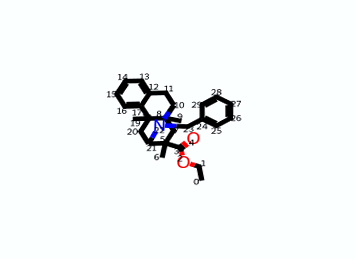 CCOC(=O)C1(C)CC2(C)C3Cc4ccccc4C2(C)CC1N3Cc1ccccc1